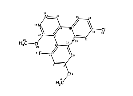 COc1cc(F)c(-c2c(-c3ccc(Cl)cc3)cnnc2OC)c(F)c1